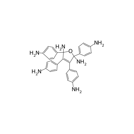 Nc1ccc(C2=C(c3ccc(N)cc3)C(N)(c3ccc(N)cc3)OC2(N)c2ccc(N)cc2)cc1